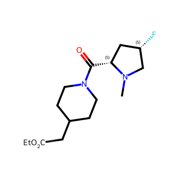 CCOC(=O)CC1CCN(C(=O)[C@@H]2C[C@H](F)CN2C)CC1